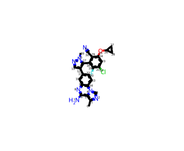 Cc1ncn2c1c(N)nc1cc(-c3cnn(C)c3-c3c(F)c(Cl)cc(OC4CC4)c3C#N)ccc12